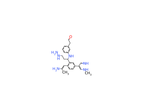 CN/C=C(\C=N)c1ccc(/C=C(\C)N)c(C(CCNN)Nc2cccc(CC=O)c2)c1